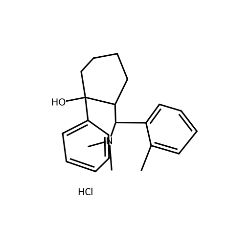 Cc1ccccc1C(C1CCCCC1(O)c1ccccc1)N(C)C.Cl